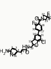 Nc1ccc(C=CC(=O)NCC2Cc3cc(-c4ccc(C(=O)N5CC(F)(F)C5)c(F)c4)cc(Cl)c3O2)cn1